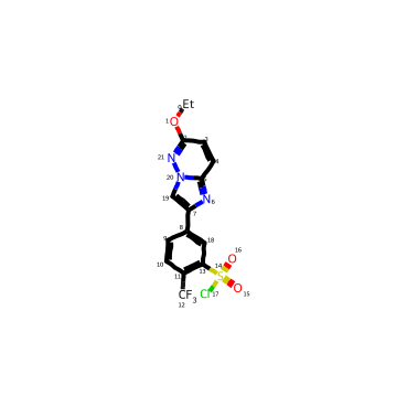 CCOc1ccc2nc(-c3ccc(C(F)(F)F)c(S(=O)(=O)Cl)c3)cn2n1